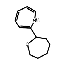 C1=CC=C(C2CCCCCO2)NC=C1